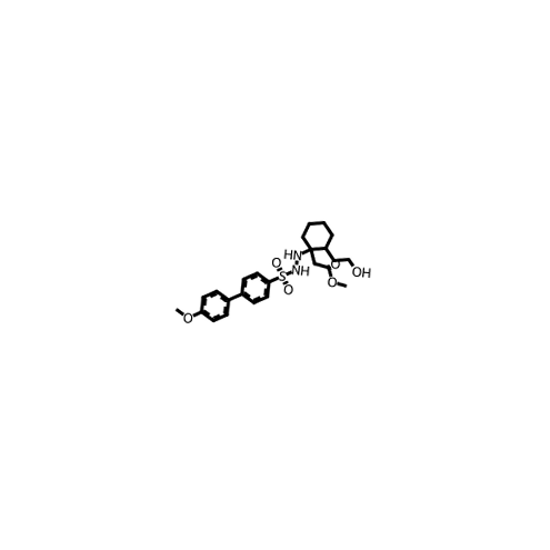 COC(=O)CC1(NNS(=O)(=O)c2ccc(-c3ccc(OC)cc3)cc2)CCCCC1CCO